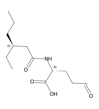 CCC[C@H](CC)CC(=O)N[C@H](CC[C]=O)C(=O)O